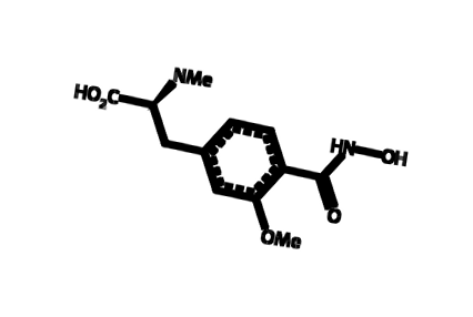 CN[C@@H](Cc1ccc(C(=O)NO)c(OC)c1)C(=O)O